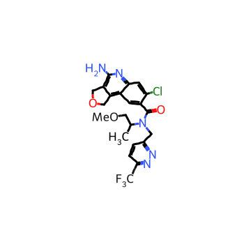 COCC(C)N(Cc1ccc(C(F)(F)F)nn1)C(=O)c1cc2c3c(c(N)nc2cc1Cl)COC3